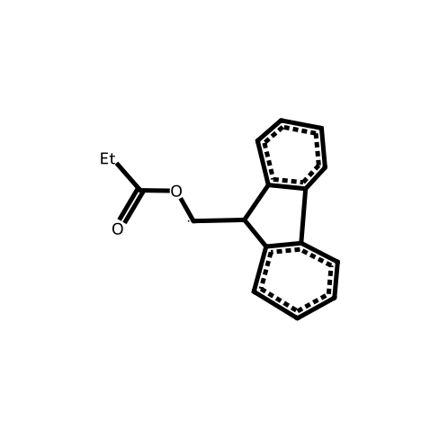 CCC(=O)O[CH]C1c2ccccc2-c2ccccc21